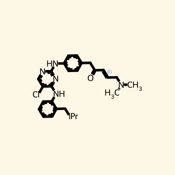 CC(C)Cc1ccccc1Nc1nc(Nc2ccc(CC(=O)/C=C/CN(C)C)cc2)ncc1Cl